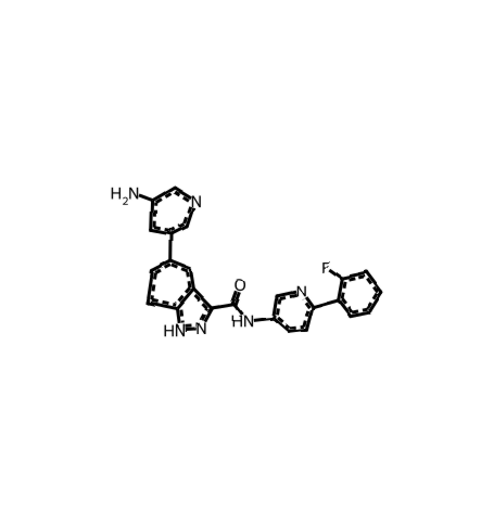 Nc1cncc(-c2ccc3[nH]nc(C(=O)Nc4ccc(-c5ccccc5F)nc4)c3c2)c1